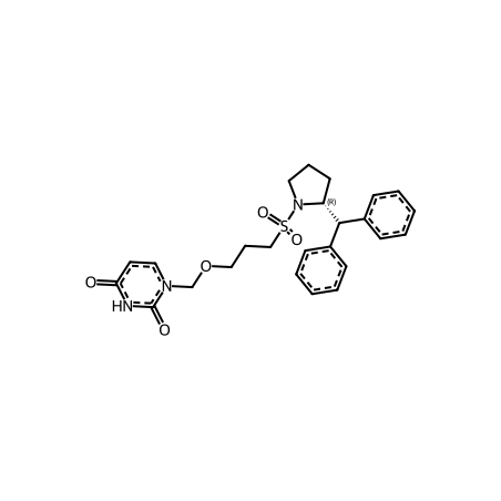 O=c1ccn(COCCCS(=O)(=O)N2CCC[C@@H]2C(c2ccccc2)c2ccccc2)c(=O)[nH]1